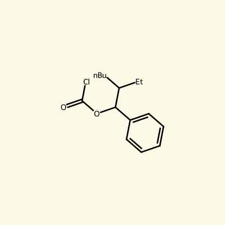 CCCCC(CC)C(OC(=O)Cl)c1ccccc1